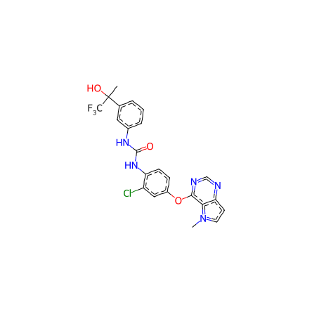 Cn1ccc2ncnc(Oc3ccc(NC(=O)Nc4cccc(C(C)(O)C(F)(F)F)c4)c(Cl)c3)c21